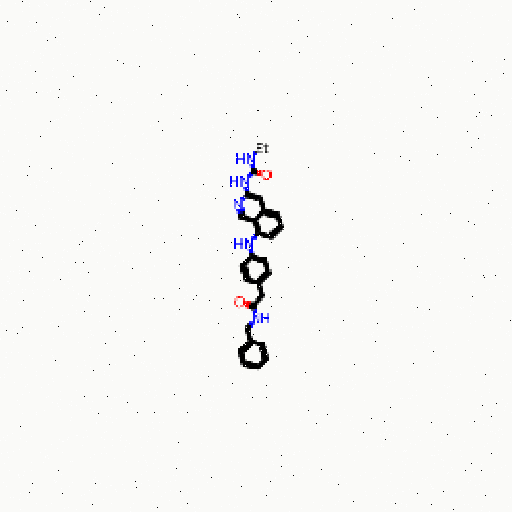 CCNC(=O)Nc1cc2cccc(Nc3ccc(CC(=O)NCc4ccccc4)cc3)c2cn1